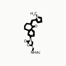 CC(=O)NC[C@H]1CN(c2ccc3c(c2)CCC/C(=C/c2cccn2C)C3=O)C(=O)O1